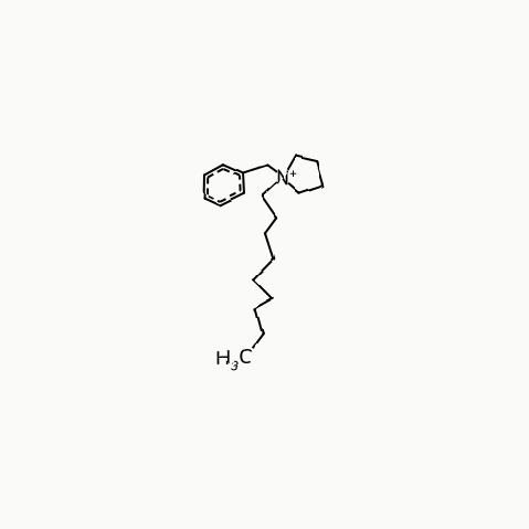 CCCCCCCCC[N+]1(Cc2ccccc2)CCCC1